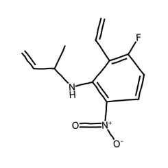 C=Cc1c(F)ccc([N+](=O)[O-])c1NC(C)C=C